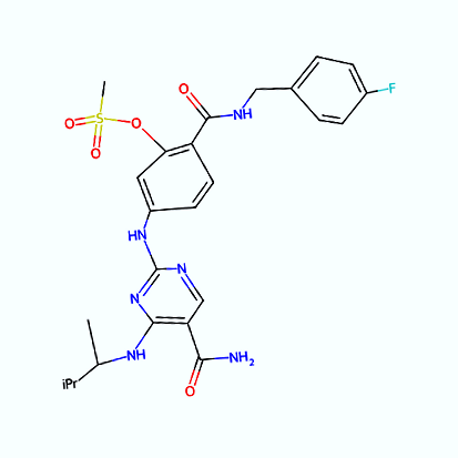 CC(C)C(C)Nc1nc(Nc2ccc(C(=O)NCc3ccc(F)cc3)c(OS(C)(=O)=O)c2)ncc1C(N)=O